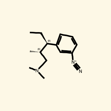 CC[C@@H](c1cccc([N+]#N)c1)[C@@H](C)CN(C)C